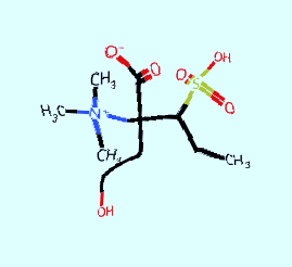 CCC(C(CCO)(C(=O)[O-])[N+](C)(C)C)S(=O)(=O)O